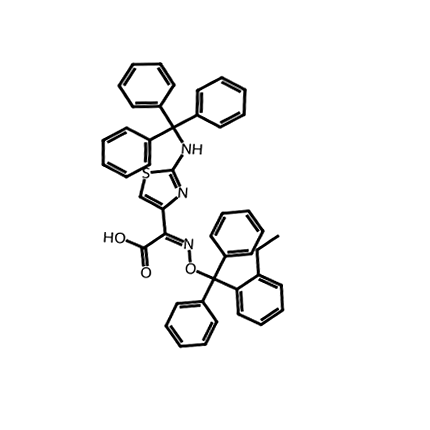 CCc1ccccc1C(ON=C(C(=O)O)c1csc(NC(c2ccccc2)(c2ccccc2)c2ccccc2)n1)(c1ccccc1)c1ccccc1